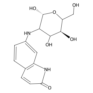 O=c1ccc2ccc(NC3C(O)[C@H](O)C(CO)O[C@H]3O)cc2[nH]1